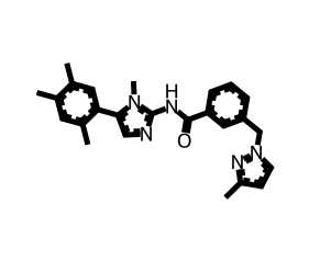 Cc1ccn(Cc2cccc(C(=O)Nc3ncc(-c4cc(C)c(C)cc4C)n3C)c2)n1